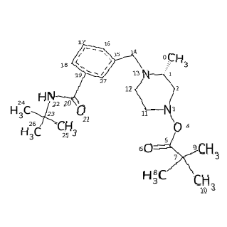 C[C@@H]1CN(OC(=O)C(C)(C)C)CCN1Cc1cccc(C(=O)NC(C)(C)C)c1